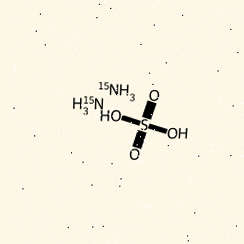 O=S(=O)(O)O.[15NH3].[15NH3]